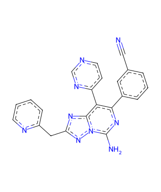 N#Cc1cccc(-c2nc(N)n3nc(Cc4ccccn4)nc3c2-c2ccncn2)c1